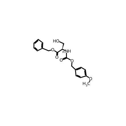 COc1ccc(COC(=O)N[C@H](CO)C(=O)OCc2ccccc2)cc1